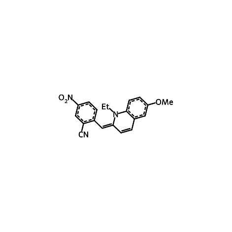 CCN1C(=Cc2ccc([N+](=O)[O-])cc2C#N)C=Cc2cc(OC)ccc21